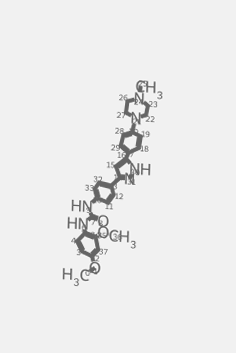 COc1ccc(NC(=O)Nc2ccc(-c3cc(-c4ccc(N5CCN(C)CC5)cc4)[nH]n3)cc2)c(OC)c1